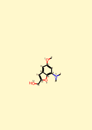 COc1cc(N(C)C)c2oc(CO)cc2c1